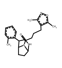 Cc1ccccc1C1CNC2CCC1N2C(=O)CCCc1c(C)noc1C